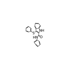 O=C(Nc1ccccc1)c1[nH]c2ccccc2c1Sc1ccccc1